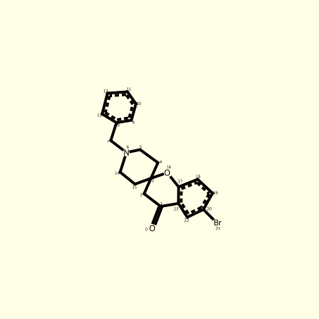 O=C1CC2(CCN(Cc3ccccc3)CC2)Oc2ccc(Br)cc21